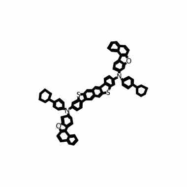 c1ccc2c(c1)ccc1oc3cc(N(c4ccc(C5CCCCC5)cc4)c4ccc5c(c4)sc4cc6cc7c(cc6cc45)sc4cc(N(c5ccc(C6CCCCC6)cc5)c5ccc6c(c5)oc5ccc8ccccc8c56)ccc47)ccc3c12